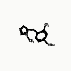 Cn1cncc1Cc1ccc(C(C)(C)C)cc1C(F)(F)F